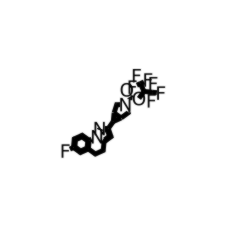 O=C(OC(C(F)(F)F)C(F)(F)F)N1CC2C(C1)C2c1cc2n(n1)-c1ccc(F)cc1CC2